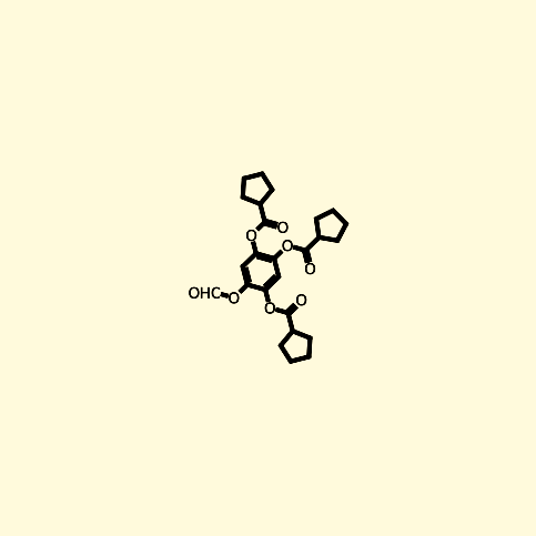 O=COc1cc(OC(=O)C2CCCC2)c(OC(=O)C2CCCC2)cc1OC(=O)C1CCCC1